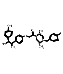 CCCC(c1ccc(O)cc1)C(C)c1ccc(OCC(=O)N2C[C@H](C)N(Cc3ccc(F)cc3)C[C@H]2C)cc1